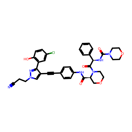 N#CCCn1cc(C#Cc2ccc(NC(=O)[C@@H]3COCCN3C(=O)[C@H](NC(=O)N3CCOCC3)c3ccccc3)cc2)c(-c2cc(Cl)ccc2O)n1